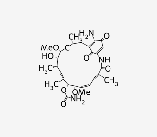 CO[C@H]1/C=C\C=C(/C)C(=O)NC2=CC(=O)C(N)=C(C[C@@H](C)C[C@@H](OC)[C@@H](O)[C@H](C)/C=C(\C)[C@H]1OC(N)=O)C2=O